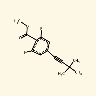 COC(=O)c1c(F)cc(C#CC(C)(C)C)cc1F